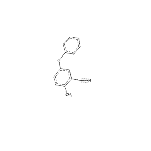 Cc1ccc(Oc2[c]cccc2)cc1C#N